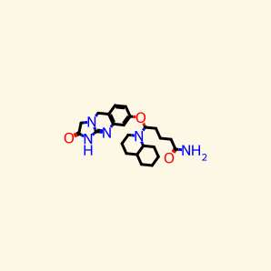 NC(=O)CCCC(Oc1ccc2c(c1)N=C1NC(=O)CN1C2)N1CCCC2CCCCC21